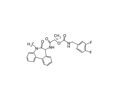 C[C@H](OC(=O)NCc1ccc(F)c(F)c1)C(=O)NC1C(=O)N(C)c2ccccc2-c2ccccc21